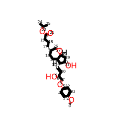 COc1ccc(OC[C@H](O)C=C[C@@H]2[C@H]3CC[C@H](CCCC(=O)OC(C)C)CO[C@H]3C[C@H]2O)cc1